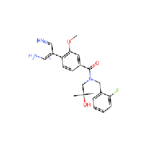 COc1cc(C(=O)N(Cc2ccccc2F)CC(C)(C)O)ccc1/C(C=N)=C/N